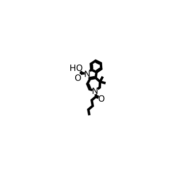 CCCCC(=O)N1C=Cc2c(c3ccccc3n2C(=O)O)C(C)(C)C1